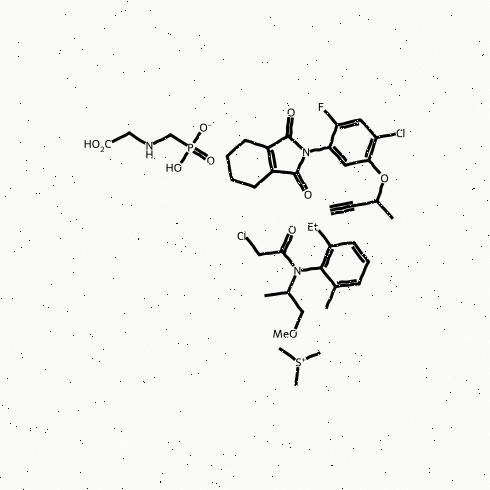 C#CC(C)Oc1cc(N2C(=O)C3=C(CCCC3)C2=O)c(F)cc1Cl.CCc1cccc(C)c1N(C(=O)CCl)C(C)COC.C[S+](C)C.O=C(O)CNCP(=O)([O-])O